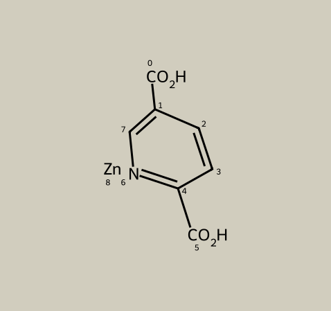 O=C(O)c1ccc(C(=O)O)nc1.[Zn]